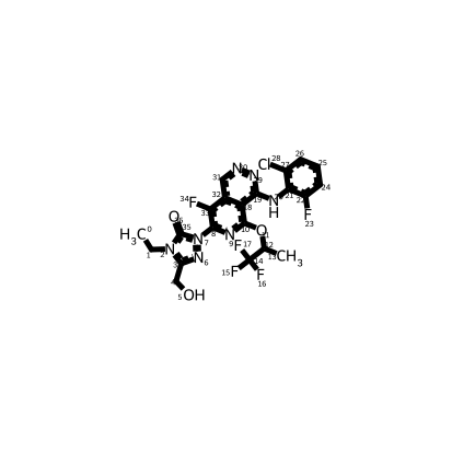 CCn1c(CO)nn(-c2nc(OC(C)C(F)(F)F)c3c(Nc4c(F)cccc4Cl)nncc3c2F)c1=O